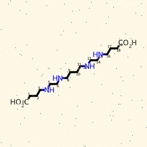 O=C(O)CCCNCCNCCCCNCCNCCCC(=O)O